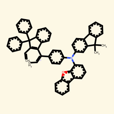 C=CC1=C(/C(=C\C)c2ccc(N(c3ccc4c(c3)C(C)(C)c3ccccc3-4)c3cccc4c3oc3ccccc34)cc2)c2ccccc2C1(c1ccccc1)c1ccccc1